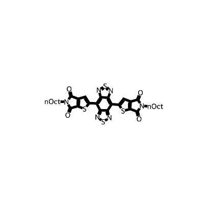 CCCCCCCCN1C(=O)c2cc(-c3c4c(c(-c5cc6c(s5)C(=O)N(CCCCCCCC)C6=O)c5nsnc35)N=S=N4)sc2C1=O